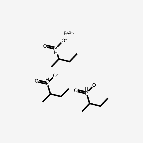 CCC(C)[PH](=O)[O-].CCC(C)[PH](=O)[O-].CCC(C)[PH](=O)[O-].[Fe+3]